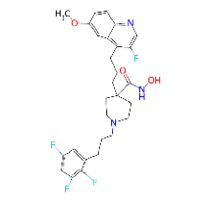 COc1ccc2ncc(F)c(CCCC3(C(=O)NO)CCN(CCCc4cc(F)cc(F)c4F)CC3)c2c1